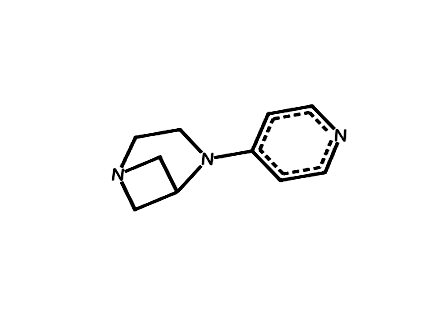 c1cc(N2CCN3CC2C3)ccn1